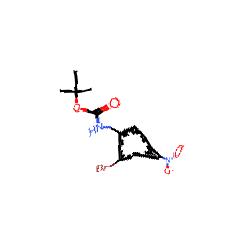 CC(C)(C)OC(=O)Nc1ccc([N+](=O)[O-])cc1Br